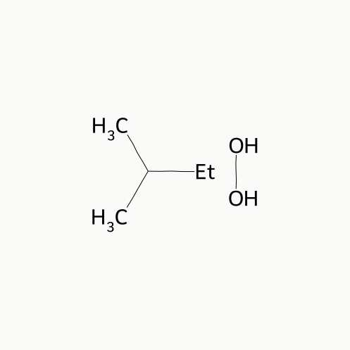 CCC(C)C.OO